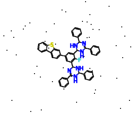 Fc1c(C2N=C(c3ccccc3)NC(c3ccccc3)N2)cc(-c2ccc3c(c2)sc2ccccc23)cc1C1NC(c2ccccc2)=NC(c2ccccc2)N1